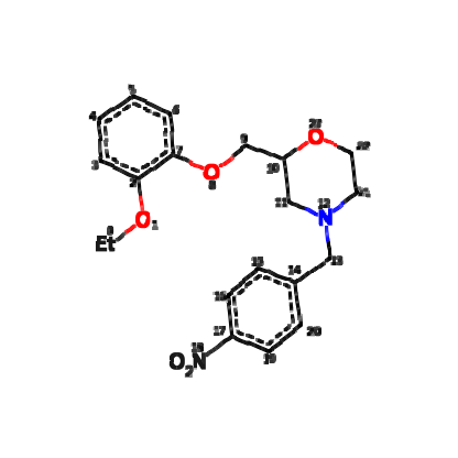 CCOc1ccccc1OCC1CN(Cc2ccc([N+](=O)[O-])cc2)CCO1